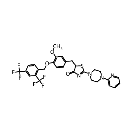 COc1cc(CC2SC(N3CCN(c4ccccn4)CC3)=NC2=O)ccc1OCc1ccc(C(F)(F)F)cc1C(F)(F)F